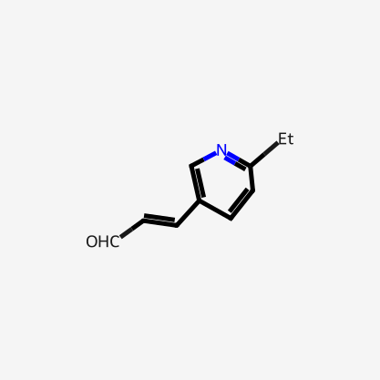 CCc1ccc(/C=C/C=O)cn1